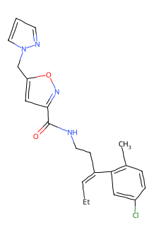 CC/C=C(/CCNC(=O)c1cc(Cn2cccn2)on1)c1cc(Cl)ccc1C